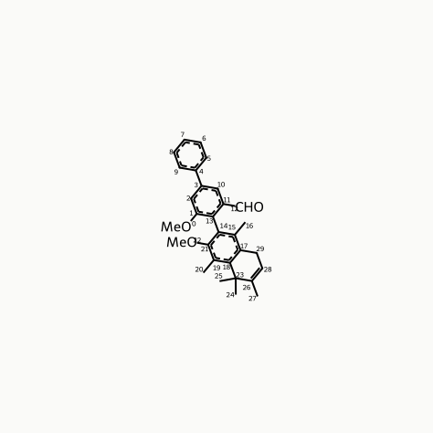 COc1cc(-c2ccccc2)cc(C=O)c1-c1c(C)c2c(c(C)c1OC)C(C)(C)C(C)=CC2